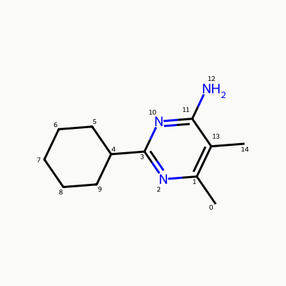 Cc1nc(C2CCCCC2)nc(N)c1C